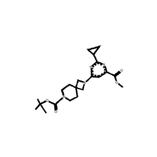 COC(=O)c1cc(N2CC3(CCN(C(=O)OC(C)(C)C)CC3)C2)nc(C2CC2)n1